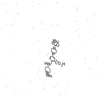 CC(=O)O.CC(C)(C)OC(=O)N1CCN(c2ccc(CNC3CCN(C(C)(C)C)CC3)cc2)CC1